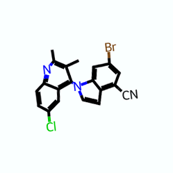 Cc1nc2ccc(Cl)cc2c(-n2ccc3c(C#N)cc(Br)cc32)c1C